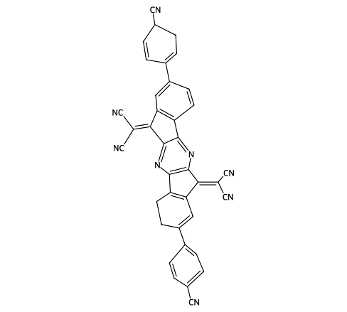 N#CC(C#N)=C1C2=C(CCC(c3ccc(C#N)cc3)=C2)c2nc3c(nc21)-c1ccc(C2=CCC(C#N)C=C2)cc1C3=C(C#N)C#N